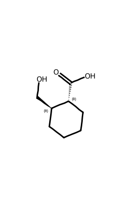 O=C(O)[C@@H]1CCCC[C@H]1CO